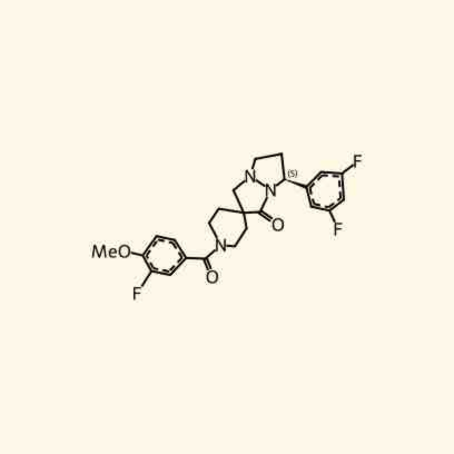 COc1ccc(C(=O)N2CCC3(CC2)CN2CC[C@@H](c4cc(F)cc(F)c4)N2C3=O)cc1F